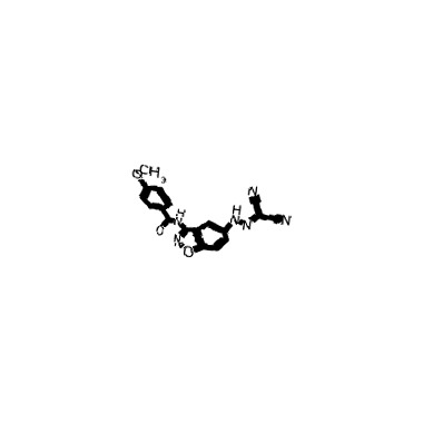 COc1ccc(C(=O)Nc2noc3ccc(NN=C(C#N)C#N)cc23)cc1